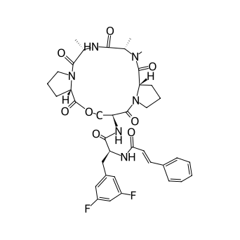 C[C@@H]1NC(=O)[C@H](C)N(C)C(=O)[C@@H]2CCCN2C(=O)[C@@H](NC(=O)[C@H](Cc2cc(F)cc(F)c2)NC(=O)/C=C/c2ccccc2)COC(=O)[C@@H]2CCCN2C1=O